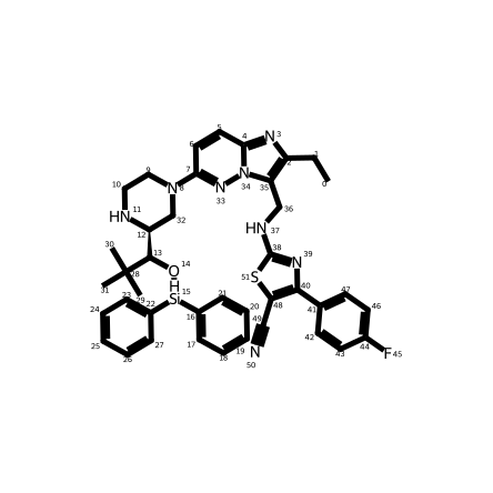 CCc1nc2ccc(N3CCN[C@H](C(O[SiH](c4ccccc4)c4ccccc4)C(C)(C)C)C3)nn2c1CNc1nc(-c2ccc(F)cc2)c(C#N)s1